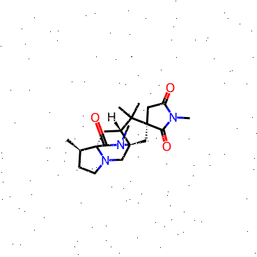 C[C@@H]1CCN2C[C@@]34C[C@@]5(CC(=O)N(C)C5=O)C(C)(C)[C@H]3C[C@@]12C(=O)N4C